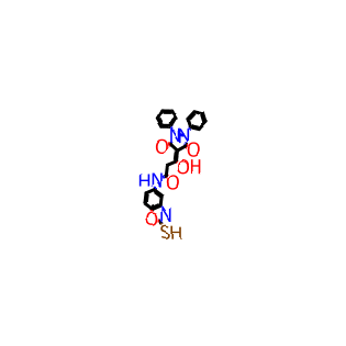 O=C(CC(O)=C1C(=O)N(c2ccccc2)N(c2ccccc2)C1=O)Nc1ccc2oc(S)nc2c1